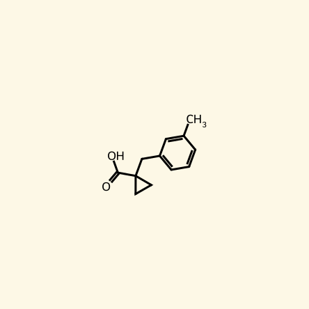 Cc1cccc(CC2(C(=O)O)CC2)c1